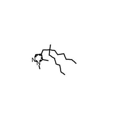 CCCCCCC(C)(CCCCCC)Cc1cnn(C)c1C